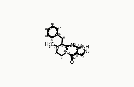 CN1CCn2c(nc3[nH]ncc3c2=O)C1Cc1ccccc1